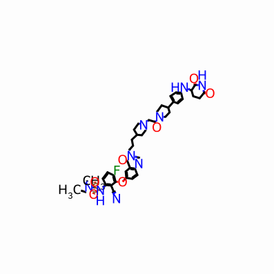 CCN(C)S(=O)(=O)Nc1ccc(F)c(Oc2ccc3ncn(CCCC4CCN(CC(=O)N5CCC(c6ccc(NC7CCC(=O)NC7=O)cc6)CC5)CC4)c(=O)c3c2)c1C#N